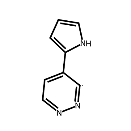 [c]1nnccc1-c1ccc[nH]1